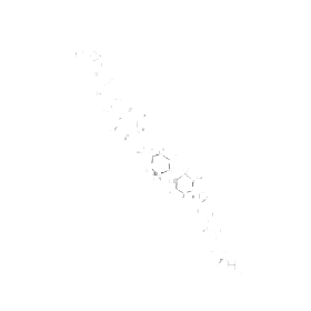 CCCCCCCOc1ccc(-c2ccc(CCC3CCC(CCCCCCC)CC3)cn2)cc1